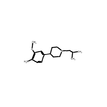 COc1cc(C2CCN(C[C](C)C)CC2)ccc1N